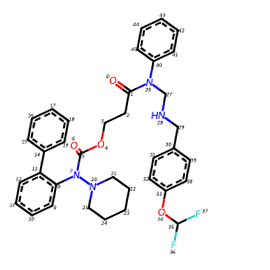 O=C(CCOC(=O)N(c1ccccc1-c1ccccc1)N1CC[CH]CC1)N(CNCc1ccc(OC(F)F)cc1)c1ccccc1